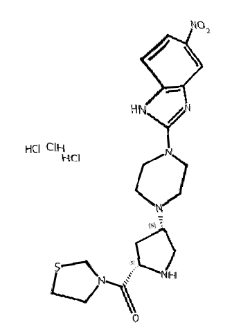 Cl.Cl.Cl.O=C([C@@H]1C[C@H](N2CCN(c3nc4cc([N+](=O)[O-])ccc4[nH]3)CC2)CN1)N1CCSC1